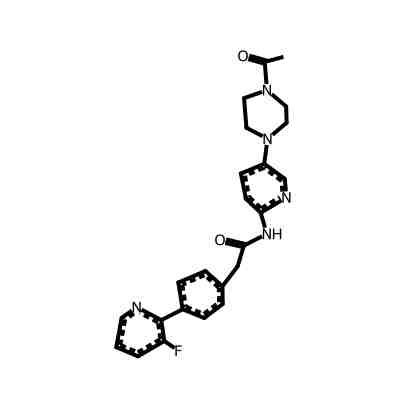 CC(=O)N1CCN(c2ccc(NC(=O)Cc3ccc(-c4ncccc4F)cc3)nc2)CC1